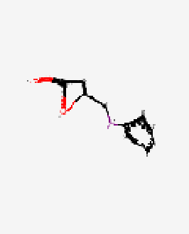 O=C1CC(CPc2ccccc2)O1